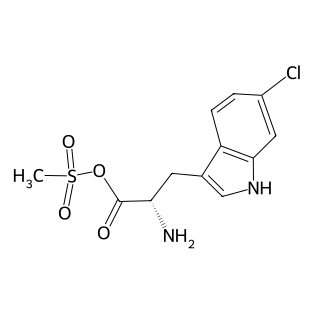 CS(=O)(=O)OC(=O)[C@@H](N)Cc1c[nH]c2cc(Cl)ccc12